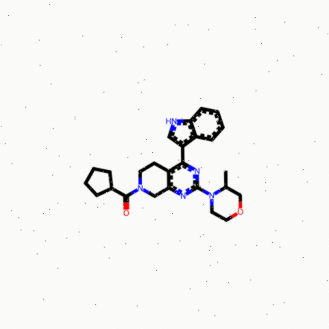 CC1COCCN1c1nc2c(c(-c3c[nH]c4ccccc34)n1)CCN(C(=O)C1CCCC1)C2